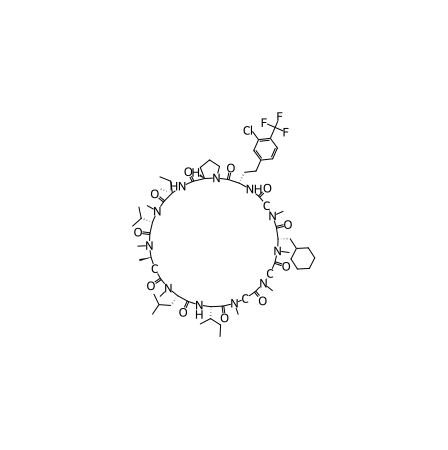 CCC(C)[C@@H]1NC(=O)[C@H](CC(C)C)N(C)C(=O)C[C@@H](C)N(C)C(=O)[C@H](C(C)C)N(C)C(=O)[C@@](C)(CC)NC(=O)[C@@H]2CCCN2C(=O)[C@H](CCc2ccc(C(F)(F)F)c(Cl)c2)NC(=O)CN(C)C(=O)[C@H](CC2CCCCC2)N(C)C(=O)CN(C)C(=O)CN(C)C1=O